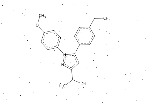 CCc1ccc(-c2cc(C(C)O)nn2-c2ccc(OC)cc2)cc1